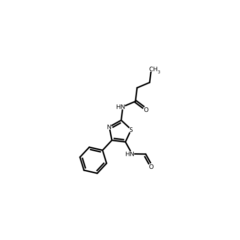 CCCC(=O)Nc1nc(-c2ccccc2)c(NC=O)s1